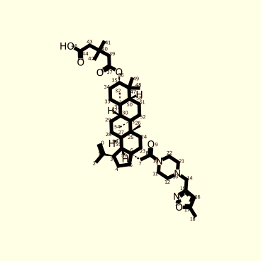 C=C(C)[C@@H]1CC[C@]2(CC(=O)N3CCN(Cc4cc(C)on4)CC3)CC[C@]3(C)[C@H](CC[C@@H]4[C@@]5(C)CC[C@H](OC(=O)CC(C)(C)CC(=O)O)C(C)(C)[C@@H]5CC[C@]43C)[C@@H]12